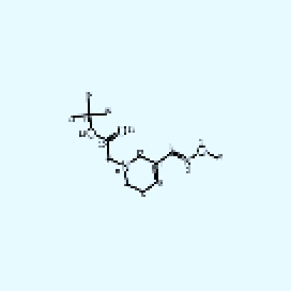 CON=CC1=CCCN(CC(=O)OC(C)(C)C)C1